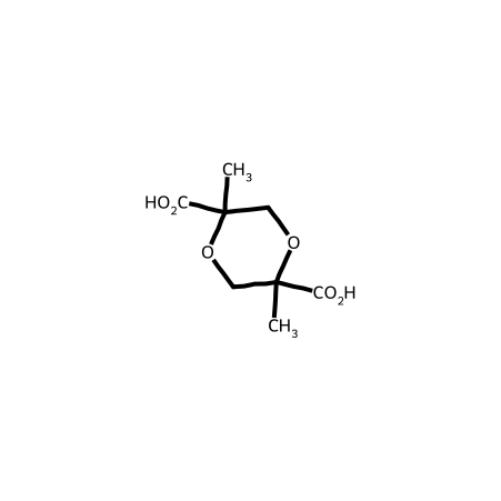 CC1(C(=O)O)COC(C)(C(=O)O)CO1